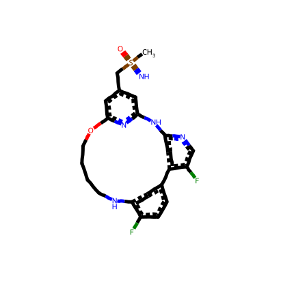 CS(=N)(=O)Cc1cc2nc(c1)OCCCCNc1cc(ccc1F)-c1cc(ncc1F)N2